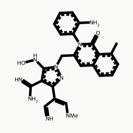 CN/C=C(\C=N)c1nn(Cc2cc3cccc(C)c3c(=O)n2-c2ccccc2N)c(NO)c1C(=N)N